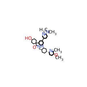 COc1ccc([C@H]2CC[C@H](CNC(=O)C3(c4cccc(-c5ccc(N(C)C)nc5)c4)CCC(O)CC3)CC2)nc1C